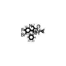 O=C(NC1CC1)c1cnc2cc(F)c(Br)cc2c1Nc1ccccc1